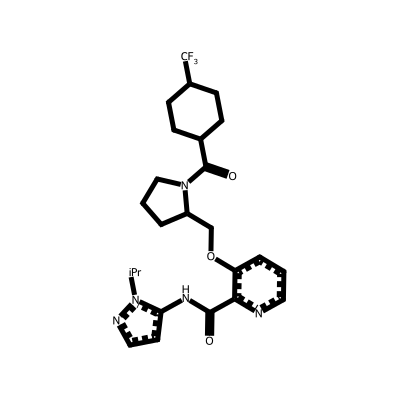 CC(C)n1nccc1NC(=O)c1ncccc1OCC1CCCN1C(=O)C1CCC(C(F)(F)F)CC1